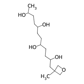 CC(O)CCC(O)CCC(O)CCC(O)CC1(C)COC1